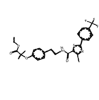 CCOC(=O)C(C)(C)Oc1ccc(CC[AsH]C(=O)c2sc(-c3ccc(C(F)(F)F)cc3)nc2C)cc1